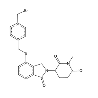 CN1C(=O)CCC(N2Cc3c(SCc4ccc(CBr)cc4)cccc3C2=O)C1=O